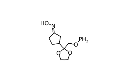 O/N=C1\CCC(C2(COP)OCCO2)C1